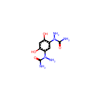 NC(=O)N(N)c1cc(N(N)C(N)=O)c(O)cc1O